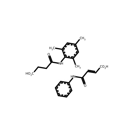 Cc1cc(C)c(NC(=O)CCC(=O)O)c(C)c1.O=C(O)C=CC(=O)Nc1ccccc1